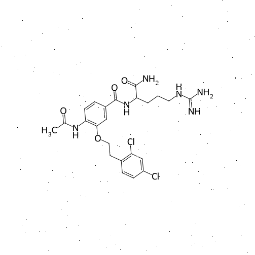 CC(=O)Nc1ccc(C(=O)NC(CCCNC(=N)N)C(N)=O)cc1OCCc1ccc(Cl)cc1Cl